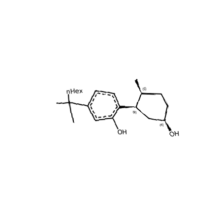 CCCCCCC(C)(C)c1ccc([C@@H]2C[C@H](O)CC[C@@H]2C)c(O)c1